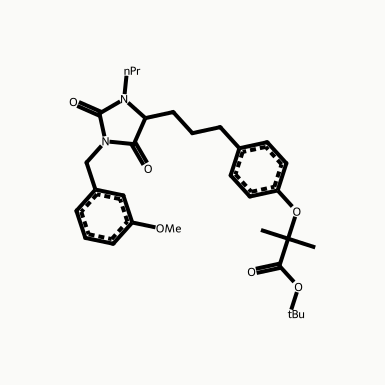 CCCN1C(=O)N(Cc2cccc(OC)c2)C(=O)C1CCCc1ccc(OC(C)(C)C(=O)OC(C)(C)C)cc1